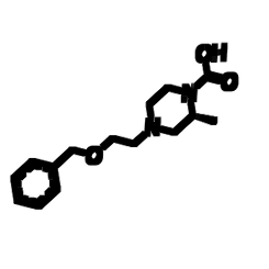 C[C@H]1CN(CCOCc2ccccc2)CCN1C(=O)O